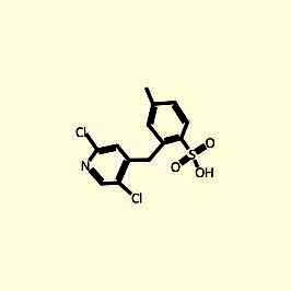 Cc1ccc(S(=O)(=O)O)c(Cc2cc(Cl)ncc2Cl)c1